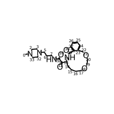 CN1CCN(CCCNC(=O)C(=O)C2CCCCOCCOCc3ccccc3C(=O)N2)CC1